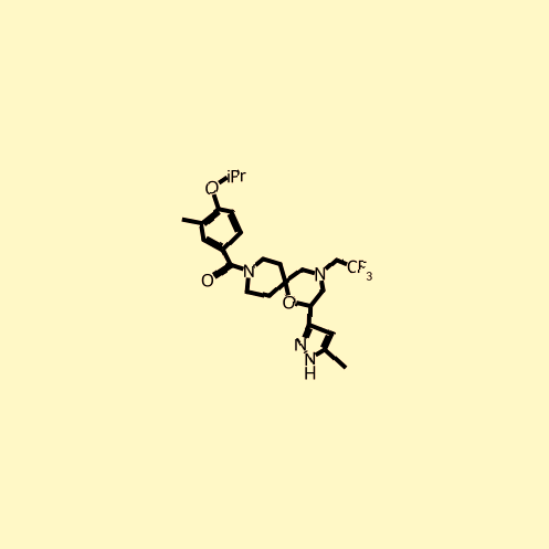 Cc1cc(C2CN(CC(F)(F)F)CC3(CCN(C(=O)c4ccc(OC(C)C)c(C)c4)CC3)O2)n[nH]1